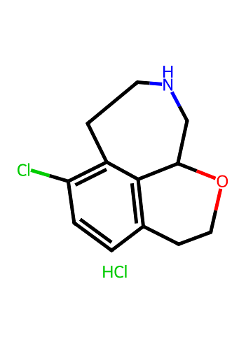 Cl.Clc1ccc2c3c1CCNCC3OCC2